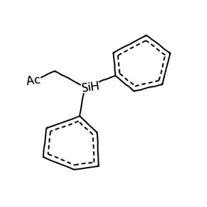 CC(=O)C[SiH](c1ccccc1)c1ccccc1